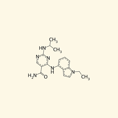 CCn1ccc2c(Nc3nc(NC(C)C)ncc3C(N)=O)cccc21